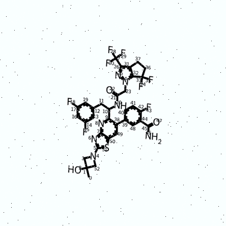 CC1(O)CN(c2nc3nc(C(Cc4cc(F)cc(F)c4)NC(=O)Cn4nc(C(F)(F)F)c5c4C(F)(F)CC5)c(-c4ccc(F)c(C(N)=O)c4)cc3s2)C1